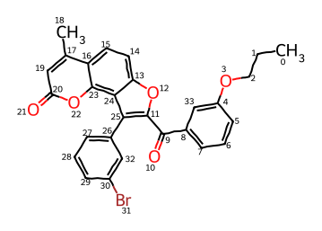 CCCOc1cccc(C(=O)c2oc3ccc4c(C)cc(=O)oc4c3c2-c2cccc(Br)c2)c1